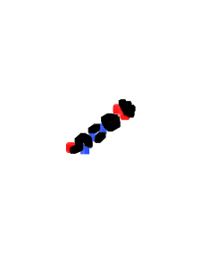 CC1(C)OB(c2ccc(N3CCN(c4ccc(C=O)nc4)CC3)cc2)OC1(C)C